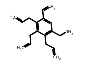 C=CCc1c(C=C)cc(CN)c(CC=C)c1CC=C